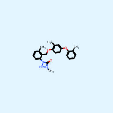 Cc1cc(Oc2ccccc2C)ccc1OCc1c(C)cccc1-n1[nH]n(C)c1=O